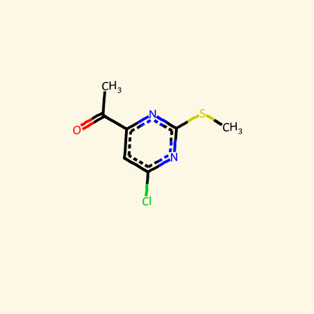 CSc1nc(Cl)cc(C(C)=O)n1